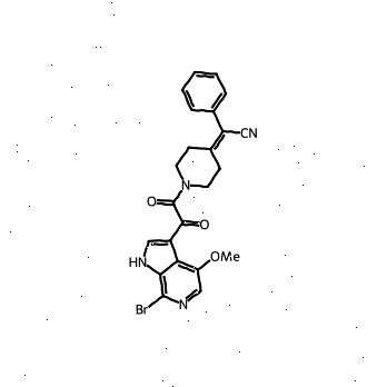 COc1cnc(Br)c2[nH]cc(C(=O)C(=O)N3CCC(=C(C#N)c4ccccc4)CC3)c12